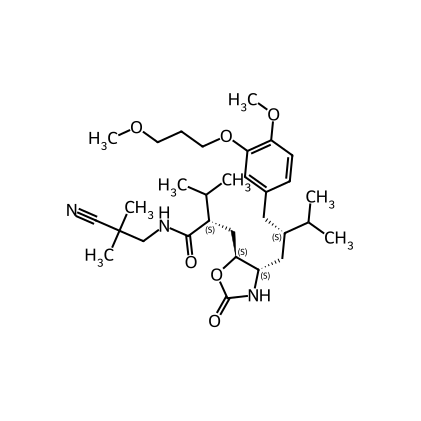 COCCCOc1cc(C[C@@H](C[C@@H]2NC(=O)O[C@H]2C[C@H](C(=O)NCC(C)(C)C#N)C(C)C)C(C)C)ccc1OC